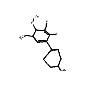 CCCCOC1C(F)=C(F)C(C2CCC(CCC)CC2)=CC1C